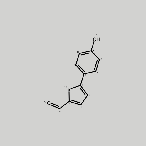 O=Cc1ccc(-c2ccc(O)cc2)s1